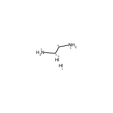 I.I.NCCN